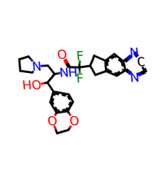 O=C(NC(CN1CCCC1)C(O)c1ccc2c(c1)OCCO2)C(F)(F)C1Cc2cc3nccnc3cc2C1